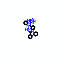 C1=C(c2ccccc2)N(C2CCCCC2)c2cccc(-c3nc4ccccc4n3-c3nnn[nH]3)c2N1